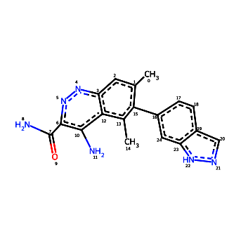 Cc1cc2nnc(C(N)=O)c(N)c2c(C)c1-c1ccc2cn[nH]c2c1